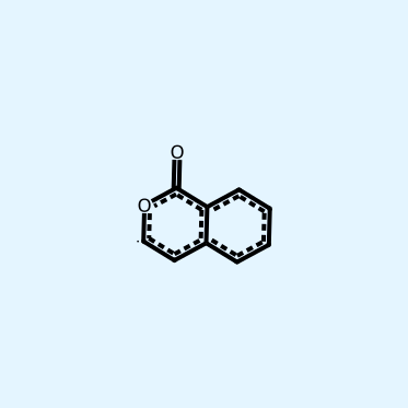 O=c1o[c]cc2ccccc12